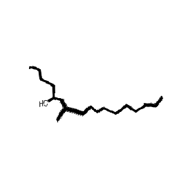 CCCCCCCCCCC(C)CC(O)CCCC